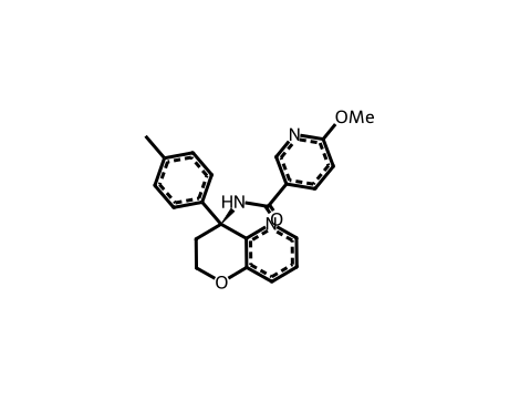 COc1ccc(C(=O)N[C@]2(c3ccc(C)cc3)CCOc3cccnc32)cn1